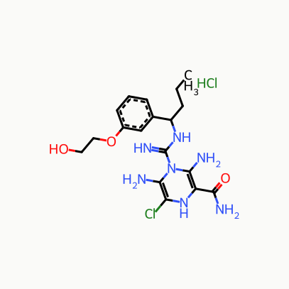 CCCC(NC(=N)N1C(N)=C(Cl)NC(C(N)=O)=C1N)c1cccc(OCCO)c1.Cl